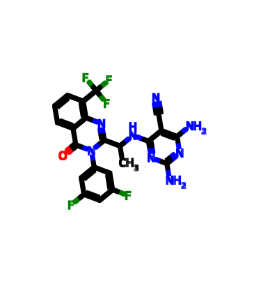 CC(Nc1nc(N)nc(N)c1C#N)c1nc2c(C(F)(F)F)cccc2c(=O)n1-c1cc(F)cc(F)c1